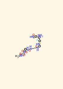 CNC(=O)CCC(C=O)N1C(=O)c2cccc(NCC(=O)NCCCCCC(=O)Nc3cccc(NSc4ccc(-c5cnc(N)c(-c6ccc7c(c6)CCNC7=O)c5)c(F)c4)c3)c2C1=O